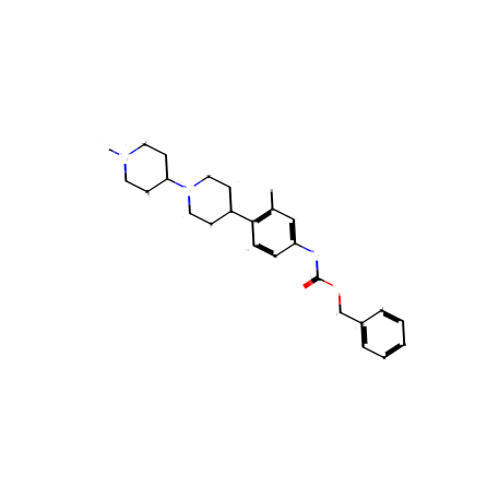 Cc1cc(NC(=O)OCc2ccccc2)ccc1C1CCN(C2CCN(C)CC2)CC1